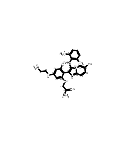 Cc1cccc(C)c1Nc1c(-c2c(Cl)cc(OCCN)cc2OCC(N)=O)nc2ccc(F)cn12